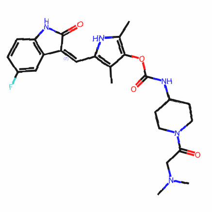 Cc1[nH]c(/C=C2\C(=O)Nc3ccc(F)cc32)c(C)c1OC(=O)NC1CCN(C(=O)CN(C)C)CC1